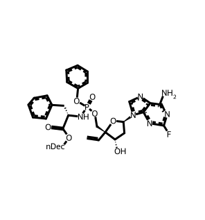 C=C[C@]1(COP(=O)(N[C@@H](Cc2ccccc2)C(=O)OCCCCCCCCCC)Oc2ccccc2)O[C@@H](n2cnc3c(N)nc(F)nc32)C[C@@H]1O